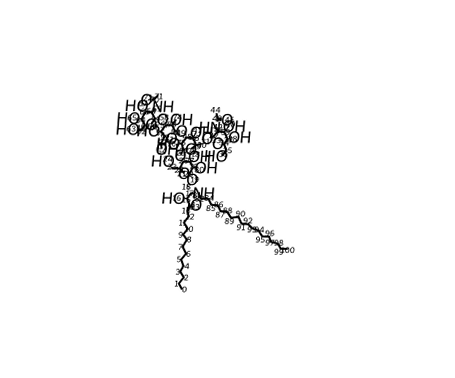 CCCCCCCCCCCCC/C=C/[C@@H](O)[C@H](CO[C@@H]1OC(CO)[C@@H](O[C@@H]2OC(CO[C@@H]3OC(CO)[C@@H](O)[C@H](O)C3NC(C)=O)[C@H](O)[C@H](O[C@H]3OC(CO)[C@H](O)[C@H](O[C@@H]4OC(CO)[C@H](O)[C@H](O)C4NC(C)=O)C3O)C2O)[C@H](O)C1O)NC(=O)CCCCCCCCCCCCCCCCC